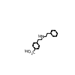 O=C(O)c1ccc(CCNCCc2ccccc2)cc1